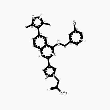 CNC(=O)Cn1cc(-c2nc(NCc3cncc(Cl)c3)c3cc(-c4c(C)noc4C)ccc3n2)cn1